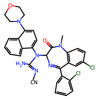 CN1C(=O)C(N(C(N)=NC#N)c2ccc(N3CCOCC3)c3ccccc23)N=C(c2ccccc2Cl)c2cc(Cl)ccc21